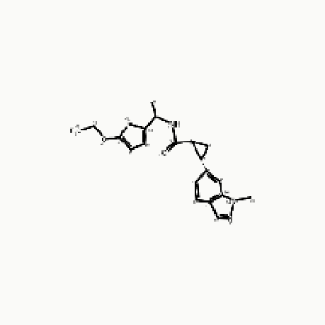 CC(NC(=O)[C@H]1C[C@@H]1c1ccc2cnn(C)c2c1)c1ccc(OCC(F)(F)F)s1